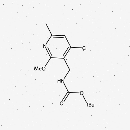 COc1nc(C)cc(Cl)c1CNC(=O)OC(C)(C)C